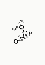 COc1ccc(C2CC(C(F)(F)F)N3NC=C(C(=O)Nc4cccnc4)C3=N2)cc1OC